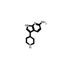 Nc1ccc2c(C3CCNCC3)c[nH]c2n1